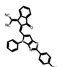 Cc1ccc(-c2nc3c(cc(/C=C4\C(=O)c5ccccc5C4=C(C#N)C#N)n3-c3ccccc3)s2)cc1